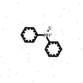 [S-][NH+](c1ccccc1)c1ccccc1